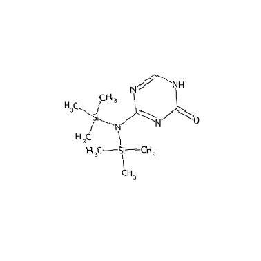 C[Si](C)(C)N(c1nc[nH]c(=O)n1)[Si](C)(C)C